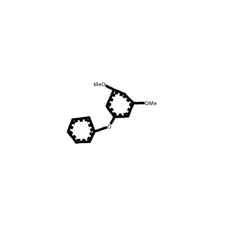 COc1cc(OC)cc(Oc2ccccc2)c1